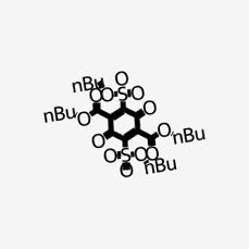 CCCCOC(=O)C1=C(S(=O)(=O)OCCCC)C(=O)C(C(=O)OCCCC)=C(S(=O)(=O)OCCCC)C1=O